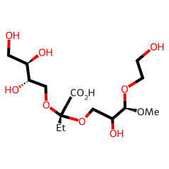 CC[C@@](OCC(O)[C@H](OC)OCCO)(OC[C@H](O)[C@H](O)CO)C(=O)O